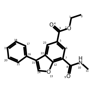 CCOC(=O)c1cc(C(=O)NC)c2occ(-c3ccccc3)c2c1